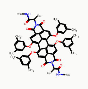 CCC(C)C(C(=O)NC(C)(C)C)N1C(=O)c2cc(Oc3cc(C)cc(C)c3)c3c4c(Oc5cc(C)cc(C)c5)cc5c6c(cc(Oc7cc(C)cc(C)c7)c(c7c(Oc8cc(C)cc(C)c8)cc(c2c37)C1=O)c64)C(=O)N(C(C(=O)NC(C)(C)C)C(C)CC)C5=O